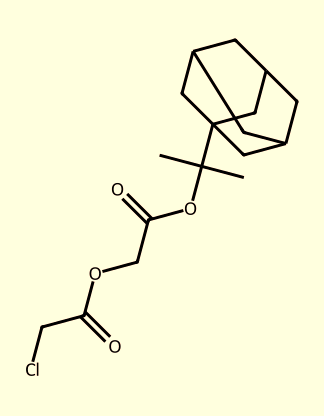 CC(C)(OC(=O)COC(=O)CCl)C12CC3CC(CC(C3)C1)C2